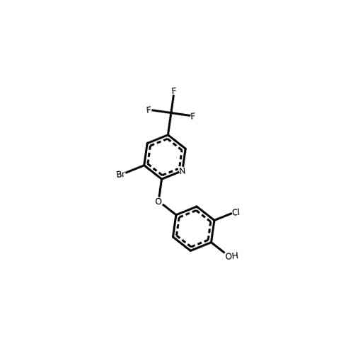 Oc1ccc(Oc2ncc(C(F)(F)F)cc2Br)cc1Cl